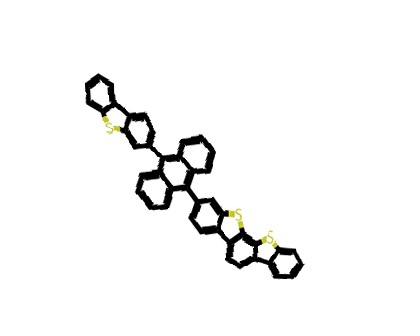 c1ccc2c(c1)sc1cc(-c3c4ccccc4c(-c4ccc5c(c4)sc4c5ccc5c6ccccc6sc54)c4ccccc34)ccc12